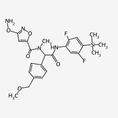 COCc1ccc(C(C(=O)Nc2cc(F)c([Si](C)(C)C)cc2F)N(C)C(=O)c2cc(ON)no2)cc1